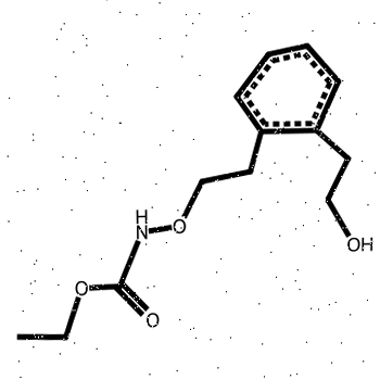 CCOC(=O)NOCCc1ccccc1CCO